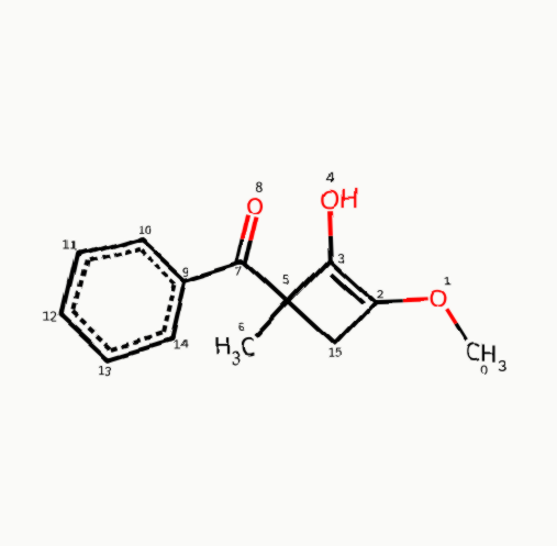 COC1=C(O)C(C)(C(=O)c2ccccc2)C1